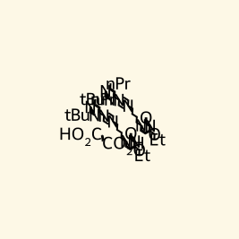 CCCc1cc(N2CCN(CCCCn3ccc(OCC)nc3=O)CC2)nc(C(C)(C)C)n1.CCCc1cc(N2CCN(CCCCn3ccc(OCC)nc3=O)CC2)nc(C(C)(C)C)n1.O=C(O)/C=C/C(=O)O